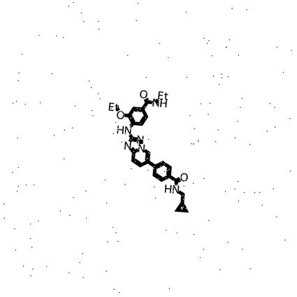 CCNC(=O)c1ccc(Nc2nc3ccc(-c4ccc(C(=O)NCC5CC5)cc4)cn3n2)c(OCC)c1